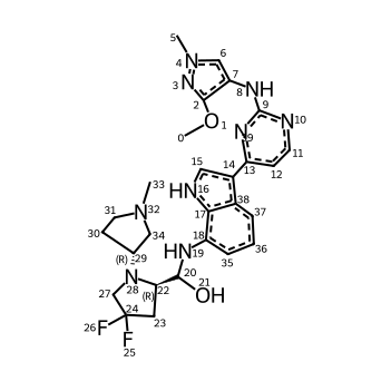 COc1nn(C)cc1Nc1nccc(-c2c[nH]c3c(NC(O)[C@H]4CC(F)(F)CN4[C@@H]4CCN(C)C4)cccc23)n1